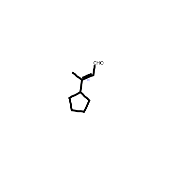 C/C(=C\C=O)C1CCCC1